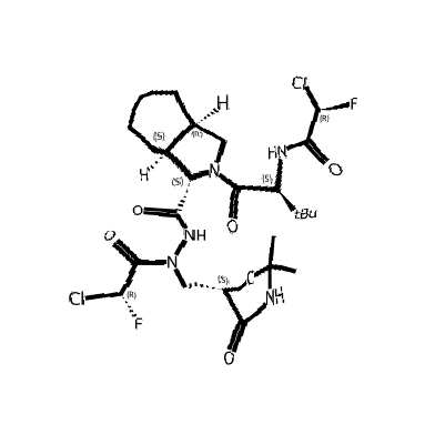 CC1(C)C[C@@H](CN(NC(=O)[C@@H]2[C@H]3CCC[C@H]3CN2C(=O)[C@@H](NC(=O)[C@H](F)Cl)C(C)(C)C)C(=O)[C@H](F)Cl)C(=O)N1